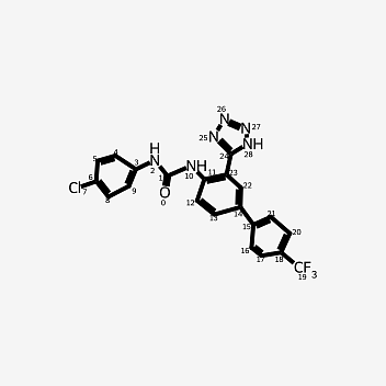 O=C(Nc1ccc(Cl)cc1)Nc1ccc(-c2ccc(C(F)(F)F)cc2)cc1-c1nnn[nH]1